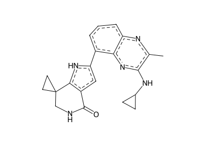 Cc1nc2cccc(-c3cc4c([nH]3)C3(CC3)CNC4=O)c2nc1NC1CC1